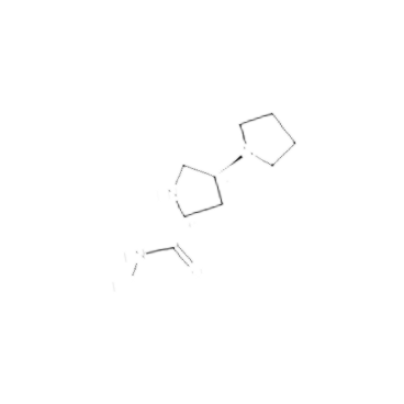 O=C(NO)[C@H]1C[C@H](N2CCCC2)CN1